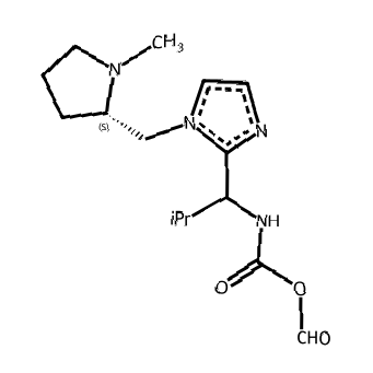 CC(C)C(NC(=O)OC=O)c1nccn1C[C@@H]1CCCN1C